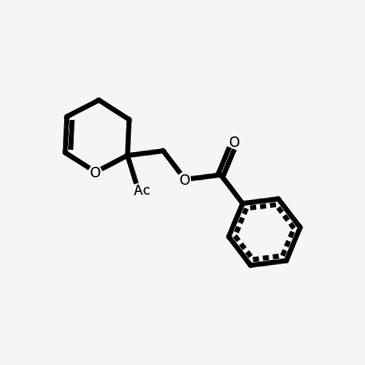 CC(=O)C1(COC(=O)c2ccccc2)CCC=CO1